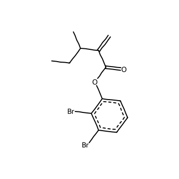 C=C(C(=O)Oc1cccc(Br)c1Br)C(C)CC